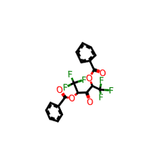 O=C(OC(C(=O)C(OC(=O)c1ccccc1)C(F)(F)F)C(F)(F)F)c1ccccc1